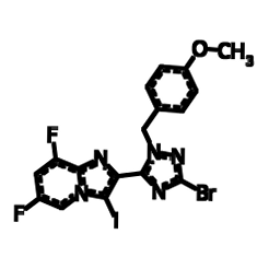 COc1ccc(Cn2nc(Br)nc2-c2nc3c(F)cc(F)cn3c2I)cc1